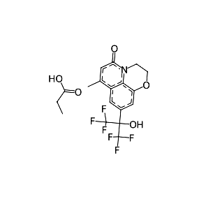 CCC(=O)O.Cc1cc(=O)n2c3c(cc(C(O)(C(F)(F)F)C(F)(F)F)cc13)OCC2